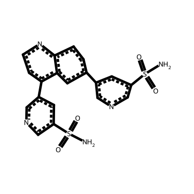 NS(=O)(=O)c1cncc(-c2ccc3nccc(-c4cncc(S(N)(=O)=O)c4)c3c2)c1